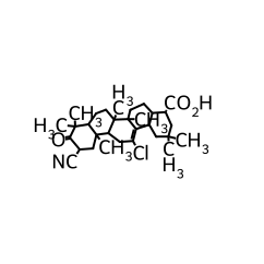 CC1(C)CC2C3=C(Cl)CC4C5(C)CC(C#N)C(=O)C(C)(C)C5CCC4(C)C3(C)CCC2[C@H](C(=O)O)C1